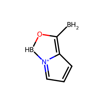 BC1=C2C=CC=[N+]2BO1